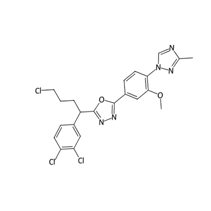 COc1cc(-c2nnc(C(CCCCl)c3ccc(Cl)c(Cl)c3)o2)ccc1-n1cnc(C)n1